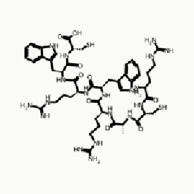 C[C@@H](NC(=O)[C@H](CS)NC(=O)[C@@H](N)CCCNC(=N)N)C(=O)N[C@@H](CCCNC(=N)N)C(=O)N[C@H](Cc1c[nH]c2ccccc12)C(=O)N[C@@H](CCCNC(=N)N)C(=O)N[C@@H](Cc1c[nH]c2ccccc12)C(=O)N[C@@H](CS)C(=O)O